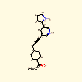 COC(=O)C1CCC(CC#Cc2cncc(C3CCCN3C)c2)CC1